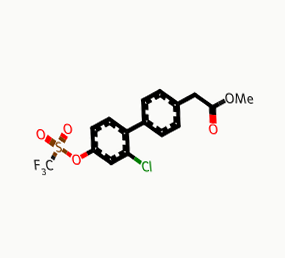 COC(=O)Cc1ccc(-c2ccc(OS(=O)(=O)C(F)(F)F)cc2Cl)cc1